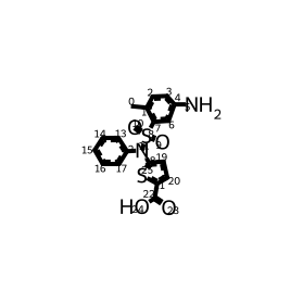 Cc1ccc(N)cc1S(=O)(=O)N(c1ccccc1)c1ccc(C(=O)O)s1